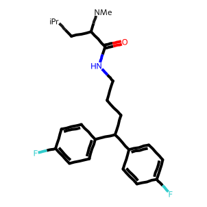 CNC(CC(C)C)C(=O)NCCCC(c1ccc(F)cc1)c1ccc(F)cc1